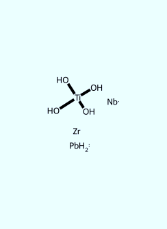 [Nb].[OH][Ti]([OH])([OH])[OH].[PbH2].[Zr]